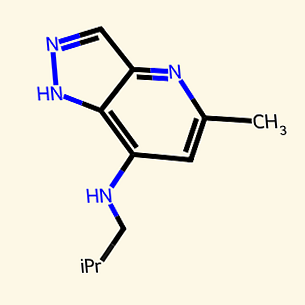 Cc1cc(NCC(C)C)c2[nH]ncc2n1